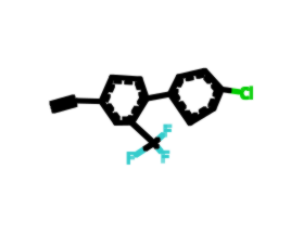 C#Cc1ccc(-c2ccc(Cl)cc2)c(C(F)(F)F)c1